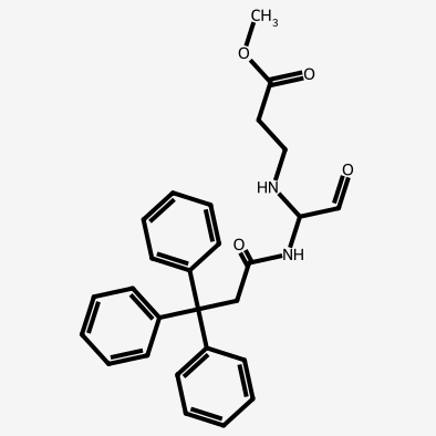 COC(=O)CCNC(C=O)NC(=O)CC(c1ccccc1)(c1ccccc1)c1ccccc1